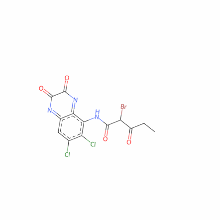 CCC(=O)C(Br)C(=O)Nc1c(Cl)c(Cl)cc2c1=NC(=O)C(=O)N=2